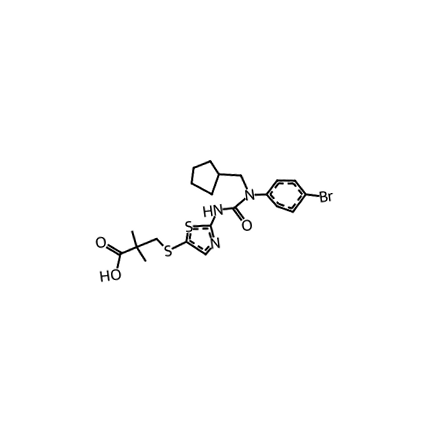 CC(C)(CSc1cnc(NC(=O)N(CC2CCCC2)c2ccc(Br)cc2)s1)C(=O)O